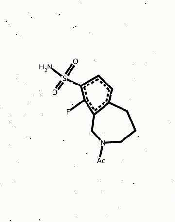 CC(=O)N1CCCc2ccc(S(N)(=O)=O)c(F)c2C1